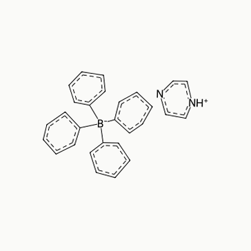 c1c[nH+]ccn1.c1ccc([B-](c2ccccc2)(c2ccccc2)c2ccccc2)cc1